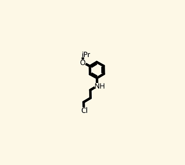 CC(C)Oc1cccc(NCCCCl)c1